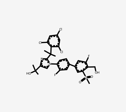 CC(C)(O)c1cn(-c2ccc(-c3cc(F)c(CO)c(S(C)(=O)=O)c3)cc2F)c(C(C)(C)c2c(Cl)cc(Cl)cc2Cl)n1